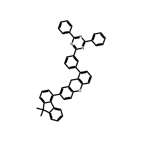 CC1(C)c2ccccc2-c2c(-c3ccc4c(c3)Cc3c(cccc3-c3cccc(-c5nc(-c6ccccc6)nc(-c6ccccc6)n5)c3)O4)cccc21